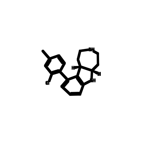 Cc1ccc(-c2cccc3c2[C@@H]2CCNCC[C@@H]2N3)c(Cl)c1